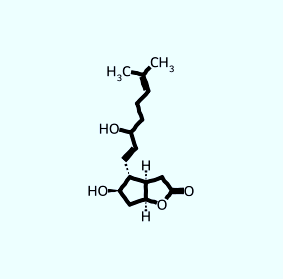 CC(C)=CCCC(O)C=C[C@@H]1[C@H]2CC(=O)O[C@H]2C[C@H]1O